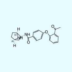 CC(=O)c1ccccc1Oc1ccc(C(=O)N[C@@H]2C[C@H]3CC[C@@H]2N3)cc1